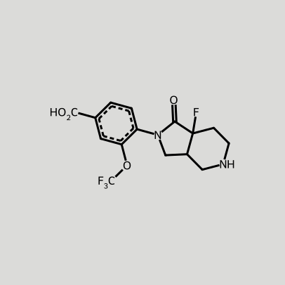 O=C(O)c1ccc(N2CC3CNCCC3(F)C2=O)c(OC(F)(F)F)c1